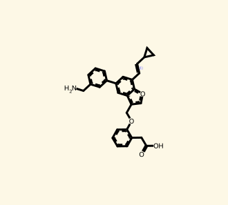 NCc1cccc(-c2cc(/C=C/C3CC3)c3occ(COc4ccccc4CC(=O)O)c3c2)c1